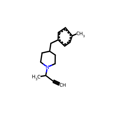 C#CC(C)N1CCC(Cc2ccc(C)cc2)CC1